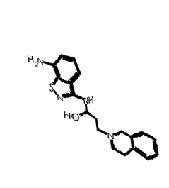 Nc1cccc2c(NC(O)CCN3CCc4ccccc4C3)nsc12